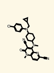 CN(c1c(C#N)c(=O)n(C)c2ccc(C#N)nc12)C1CCC(N(CC2CC2)c2ccc(Cl)cc2)CC1